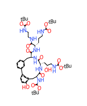 CC(C)(C)OC(=O)NCCC[C@H](NC(=O)[C@@H]1Cc2cccc(c2)-c2ccc(O)c(c2)C[C@H](NC(=O)OC(C)(C)C)C(=O)N[C@@H](C[C@@H](O)CNC(=O)OC(C)(C)C)C(=O)N1)C(=O)NCCNC(=O)OC(C)(C)C